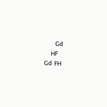 F.F.[Gd].[Gd]